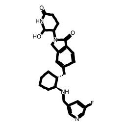 O=C1CCC(N2Cc3cc(C[C@H]4CCCC[C@@H]4NCc4cncc(F)c4)ccc3C2=O)C(O)N1